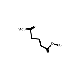 COC(=O)CCCC(=O)OBr